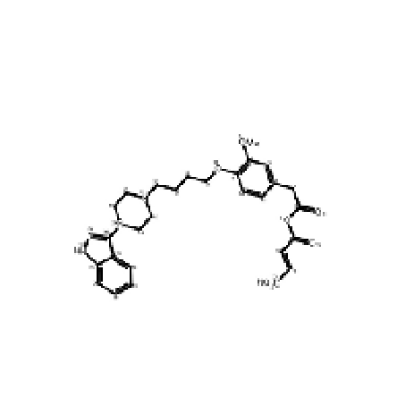 COc1cc(CC(=O)OC(=O)/C=C/C(=O)O)ccc1OCCCCN1CCN(c2n[nH]c3ccccc23)CC1